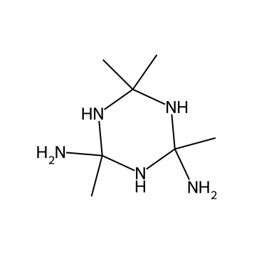 CC1(C)NC(C)(N)NC(C)(N)N1